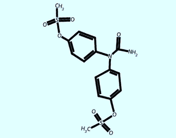 CS(=O)(=O)Oc1ccc(N(C(N)=O)c2ccc(OS(C)(=O)=O)cc2)cc1